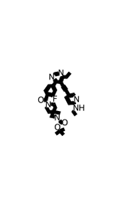 CCNc1ccc(C#Cc2c(CC)ncnc2-c2ccc(C(=O)N3CCC4(CC3)CN(C(=O)OC(C)(C)C)C4)c(F)c2)cn1